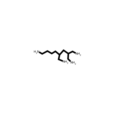 NCCCCC(CN)CC(CN)CN